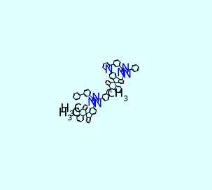 CC1(C)c2ccccc2C2(c3ccccc3-c3ccc(-c4nc(-c5cccc(CC6(C)c7ccccc7C7(c8ccccc8-c8c(-c9nc(-c%10ccccc%10)nc(-c%10cccc(-c%11ccccn%11)c%10)n9)cccc87)c7ccccc76)c5)nc(-c5cccc(-c6ccccc6)c5)n4)cc32)c2ccccc21